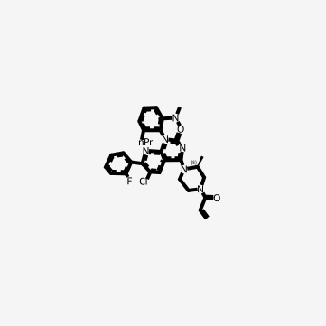 C=CC(=O)N1CCN(c2nc(=O)n(-c3c(CCC)cccc3N(C)C)c3nc(-c4ccccc4F)c(Cl)cc23)[C@@H](C)C1